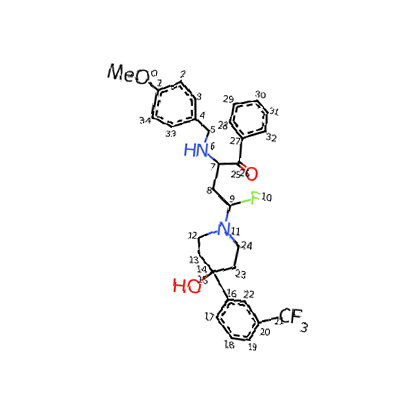 COc1ccc(CNC(CC(F)N2CCC(O)(c3cccc(C(F)(F)F)c3)CC2)C(=O)c2ccccc2)cc1